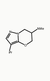 CNC1COc2c(C(C)C)cnn2C1